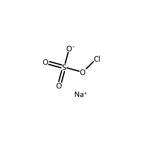 O=S(=O)([O-])OCl.[Na+]